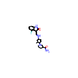 Cc1cc(N/C=C2\C(=O)Nc3cccc(F)c32)ccc1N1CCCC(C(N)=O)C1